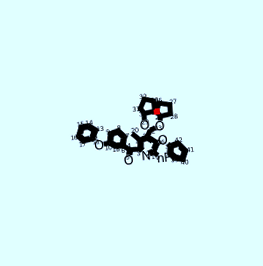 CCCc1nc(C(=O)c2cccc(Oc3ccccc3)c2)c(C)c(C(OC2CCCC2)OC2CCCC2)c1Oc1ccccc1